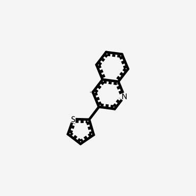 [c]1c(-c2cccs2)cnc2ccccc12